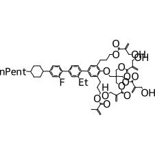 C=C(C)C(=O)OCCCc1cc(-c2ccc(-c3ccc(C4CCC(CCCCC)CC4)cc3F)cc2CC)cc(CCCOC(=O)C(=C)CO)c1OCC(COC(=O)C(=C)CO)(COC(=O)C(=C)CO)COC(=O)C(=C)CO